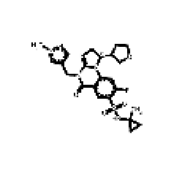 Cn1cc(CN2C(=O)c3cc(S(=O)(=O)NC4(C)CC4)c(F)cc3N3C2=NC[C@H]3C2CCOC2)cn1